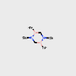 CCCB1CN(C(C)(C)C)B(CCC)CN1C(C)(C)C